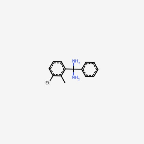 CCc1cccc(C(N)(N)c2ccccc2)c1C